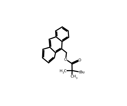 CC(C)(C)C(C)(C)C(=O)OCc1c2ccccc2cc2ccccc12